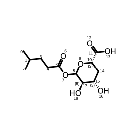 CC(C)CCC(=O)OC1O[C@H](C(=O)O)C[C@H](O)[C@H]1O